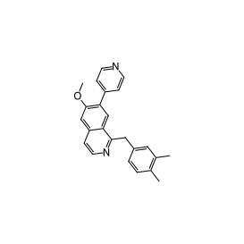 COc1cc2ccnc(Cc3ccc(C)c(C)c3)c2cc1-c1ccncc1